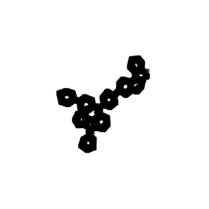 c1ccc(-c2ccc(N(c3ccc(-c4ccc5c(ccc6sc7ccccc7c65)c4)cc3)c3cccc4c3c3ccccc3n4-c3ccccc3)cc2)cc1